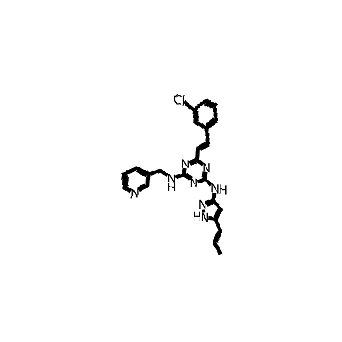 C/C=C/c1cc(Nc2nc(/C=C/c3cccc(Cl)c3)nc(NCc3cccnc3)n2)n[nH]1